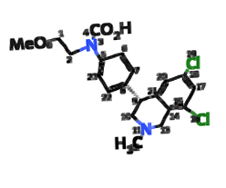 COCCN(C(=O)O)c1ccc([C@H]2CN(C)Cc3c(Cl)cc(Cl)cc32)cc1